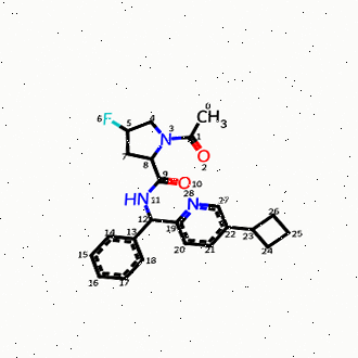 CC(=O)N1CC(F)CC1C(=O)NC(c1ccccc1)c1ccc(C2CCC2)cn1